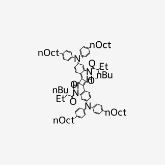 CCCCCCCCc1ccc(N(c2ccc(CCCCCCCC)cc2)c2ccc(C3=C([O-])/C(=C4/C=CC(=[N+](c5ccc(CCCCCCCC)cc5)c5ccc(CCCCCCCC)cc5)C=C4NC(=O)C(CC)CCCC)C3=O)c(NC(=O)C(CC)CCCC)c2)cc1